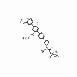 COCOc1cc(-c2cnnc(OC)c2)c(F)cc1-c1ccc(N2CC[C@@H](N(C(=O)OC(C)(C)C)C3CC3)C2)nn1